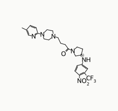 Cc1ccc(N2CCN(CCCC(=O)N3CC[C@H](Nc4ccc([N+](=O)[O-])c(C(F)(F)F)c4)C3)CC2)nc1